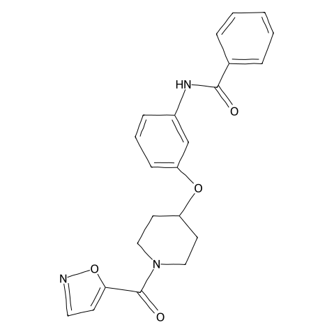 O=C(Nc1cccc(OC2CCN(C(=O)c3ccno3)CC2)c1)c1ccccc1